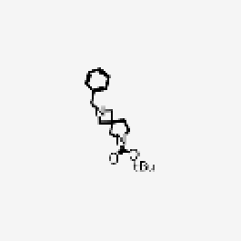 CC(C)(C)OC(=O)N1CCC2(CN(Cc3ccccc3)C2)C1